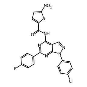 O=C(Nc1nc(-c2ccc(F)cc2)nc2c1cnn2-c1ccc(Cl)cc1)c1ccc([N+](=O)[O-])s1